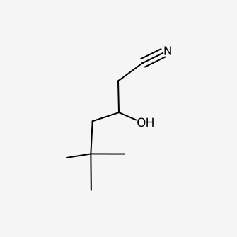 CC(C)(C)CC(O)CC#N